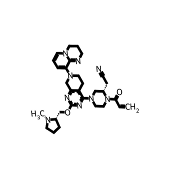 C=CC(=O)N1CCN(c2nc(OC[C@@H]3CCCN3C)nc3c2CCN(C2=CC=CN4CCCN=C24)C3)C[C@@H]1CC#N